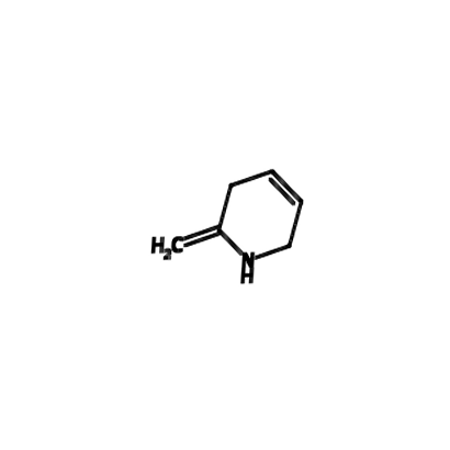 C=C1CC=CCN1